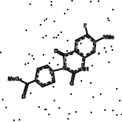 CNc1cc2[nH]c(=O)n(-c3ccc(C(=O)OC)cc3)c(=O)c2cc1F